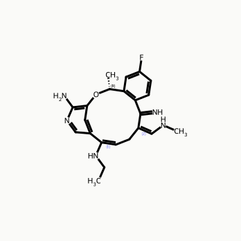 CCN/C1=C/C/C(=C/NC)C(=N)c2ccc(F)cc2[C@@H](C)Oc2cc1cnc2N